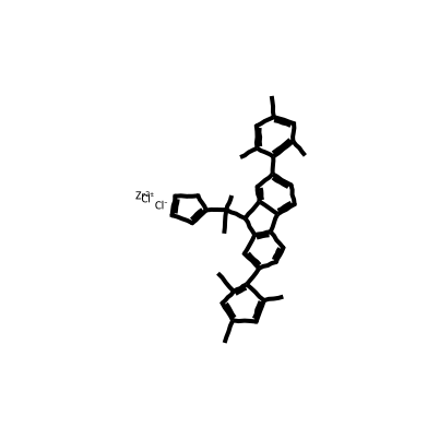 Cc1cc(C)c(-c2ccc3c(c2)C(C(C)(C)C2=CC=CC2)c2cc(-c4c(C)cc(C)cc4C)ccc2-3)c(C)c1.[Cl-].[Cl-].[Zr+2]